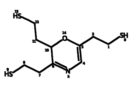 SCCC1=CN=C(CCS)C(CCS)O1